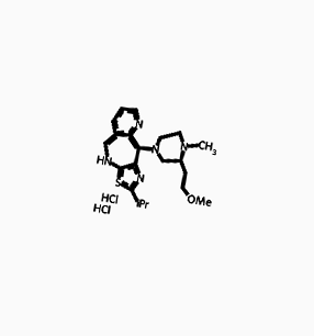 COCCC1CN(C2=c3ncccc3=CNc3sc(C(C)C)nc32)CCN1C.Cl.Cl